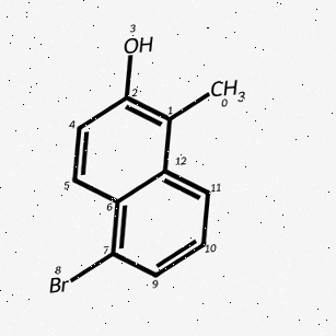 Cc1c(O)ccc2c(Br)cccc12